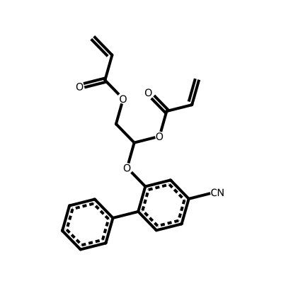 C=CC(=O)OCC(OC(=O)C=C)Oc1cc(C#N)ccc1-c1ccccc1